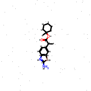 CC(C(=O)OC1(C)CCCCC1)c1ccc2nc(N)sc2c1